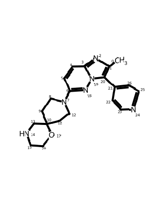 Cc1nc2ccc(N3CCC4(CC3)CNCCO4)nn2c1-c1ccncc1